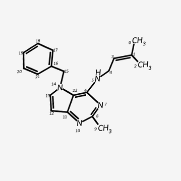 CC(C)=CCNc1nc(C)nc2ccn(Cc3ccccc3)c12